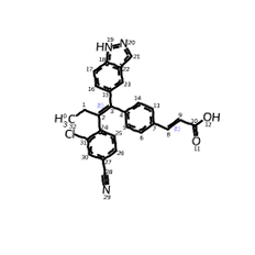 CC/C(=C(/c1ccc(/C=C/C(=O)O)cc1)c1ccc2[nH]ncc2c1)c1ccc(C#N)cc1Cl